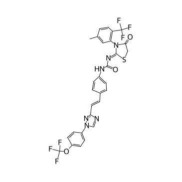 Cc1ccc(C(F)(F)F)c(N2C(=O)CS/C2=N\C(=O)Nc2ccc(/C=C/c3ncn(-c4ccc(OC(F)(F)F)cc4)n3)cc2)c1